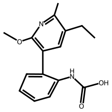 CCc1cc(-c2ccccc2NC(=O)O)c(OC)nc1C